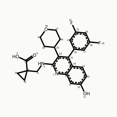 O=C(O)C1(CNc2nc3cc(O)ccc3c(-c3cc(F)cc(F)c3)c2C2CCOCC2)CC1